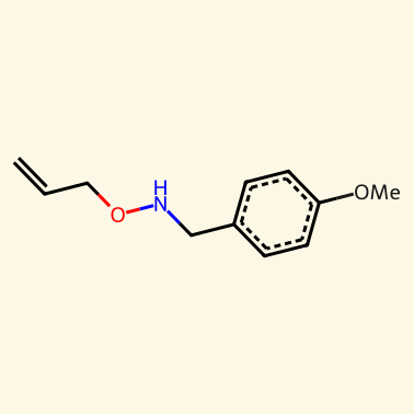 C=CCONCc1ccc(OC)cc1